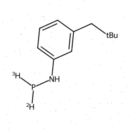 [2H]P([3H])Nc1cccc(CC(C)(C)C)c1